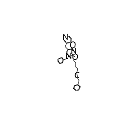 O=c1nc(OCCCCCCCCc2ccccc2)n(Cc2ccccc2)cc1Cc1cccnc1